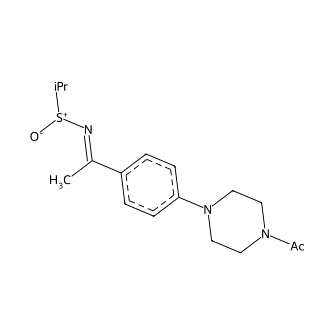 CC(=O)N1CCN(c2ccc(/C(C)=N/[S+]([O-])C(C)C)cc2)CC1